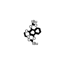 CC(C)(C)C(=O)Oc1c2c(c(OC(=O)C(C)(C)C)c3ccccc13)OCCO2